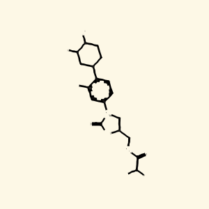 O=C(NCC1CN(c2ccc(C3CCC(O)C(O)C3)c(F)c2)C(=O)O1)C(F)F